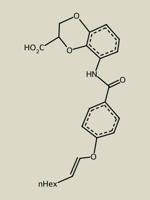 CCCCCCC=COc1ccc(C(=O)Nc2cccc3c2OC(C(=O)O)CO3)cc1